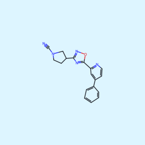 N#CN1CCC(c2noc(-c3cc(-c4ccccc4)ccn3)n2)C1